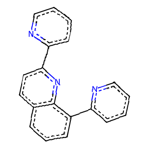 c1ccc(-c2ccc3cccc(-c4ccccn4)c3n2)nc1